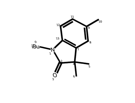 CCC(C)N1C(=O)C(C)(C)c2cc(C)ccc21